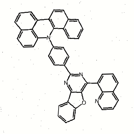 c1ccc2c3c(ccc2c1)-c1cccc2cccc(c12)N3c1ccc(-c2nc(-c3cccc4cccnc34)c3oc4ccccc4c3n2)cc1